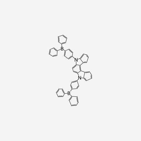 c1ccc(B(c2ccccc2)c2ccc(-n3c4ccccc4c4c5c6ccccc6n(-c6ccc(B(c7ccccc7)c7ccccc7)cc6)c5ccc43)cc2)cc1